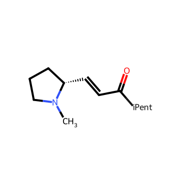 CCCC(C)C(=O)/C=C/[C@H]1CCCN1C